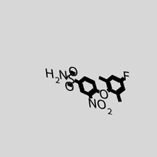 Cc1cc(F)cc(C)c1Oc1ccc(S(N)(=O)=O)cc1[N+](=O)[O-]